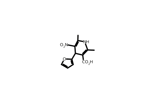 CC1=C(C(=O)O)C(c2ccco2)C([N+](=O)[O-])=C(C)N1